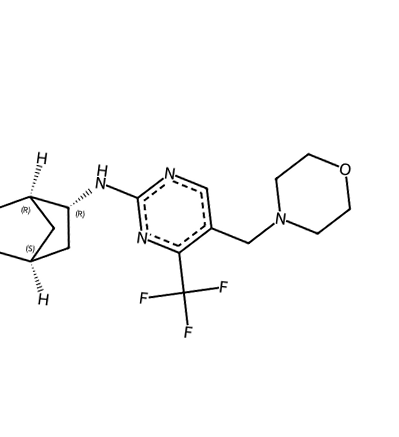 FC(F)(F)c1nc(N[C@@H]2C[C@H]3CC[C@@H]2C3)ncc1CN1CCOCC1